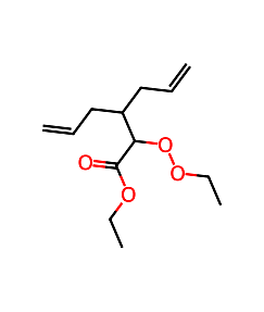 C=CCC(CC=C)C(OOCC)C(=O)OCC